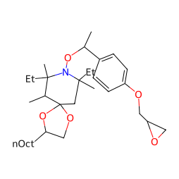 CCCCCCCCC1COC2(CC(C)(CC)N(OC(C)c3ccc(OCC4CO4)cc3)C(C)(CC)C2C)O1